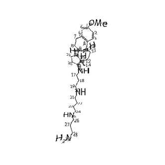 COc1ccc2c(c1)CC[C@@H]1[C@@H]2CC[C@]2(C)[C@@H](NCCCNCCCCNCCCN)CC[C@@H]12